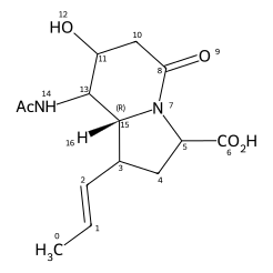 CC=CC1CC(C(=O)O)N2C(=O)CC(O)C(NC(C)=O)[C@@H]12